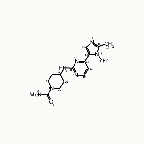 CNC(=O)N1CCC(Nc2nccc(-c3cnc(C)n3C(C)C)n2)CC1